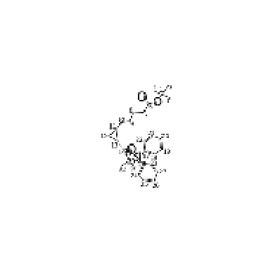 CC(C)(C)OC(=O)CCCC[C@@H]1C[C@H]1CO[Si](c1ccccc1)(c1ccccc1)C(C)(C)C